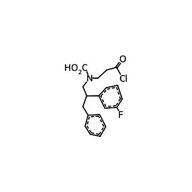 O=C(Cl)CCN(CC(Cc1ccccc1)c1cccc(F)c1)C(=O)O